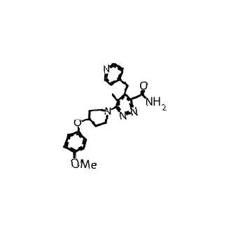 COc1ccc(OC2CCN(c3nnc(C(N)=O)c(Cc4ccncc4)c3C)CC2)cc1